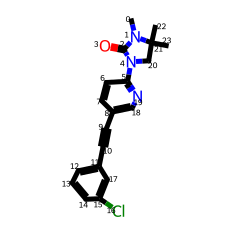 CN1C(=O)N(c2ccc(C#Cc3cccc(Cl)c3)cn2)CC1(C)C